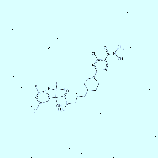 CN(C)C(=O)c1ccc(N2CCC(CCCN(C)C(=O)C(O)(c3cc(F)cc(Cl)c3)C(F)(F)F)CC2)nc1Cl